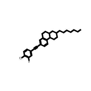 CCCCCCCC1CCC2c3ccc(C#Cc4ccc(Cl)c(F)c4)cc3CCC2C1